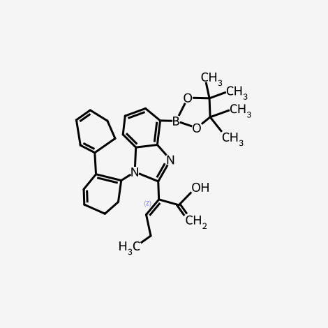 C=C(O)/C(=C\CC)c1nc2c(B3OC(C)(C)C(C)(C)O3)cccc2n1C1=C(C2=CC=CCC2)C=CCC1